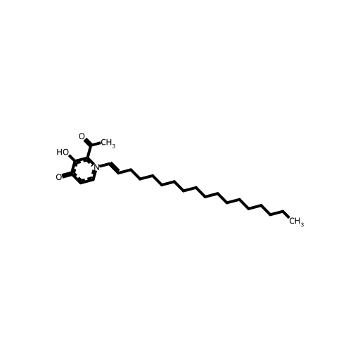 CCCCCCCCCCCCCCCCC=Cn1ccc(=O)c(O)c1C(C)=O